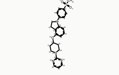 CS(=O)(=O)c1ccc(N2CCc3c(OC4CCN(c5ncccn5)CC4)cccc32)cc1